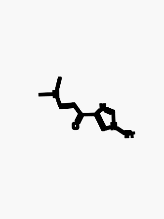 CC(C)n1cnc(C(=O)C=CN(C)C)c1